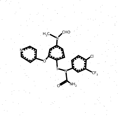 CN(C=O)c1ccc(SN(C(N)=O)c2ccc(Cl)c(C(F)(F)F)c2)c(Oc2ccncc2)c1